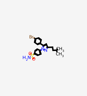 CC(C)CCc1cc(-c2ccc(Br)cc2)n(-c2ccc(S(N)(=O)=O)cc2)n1